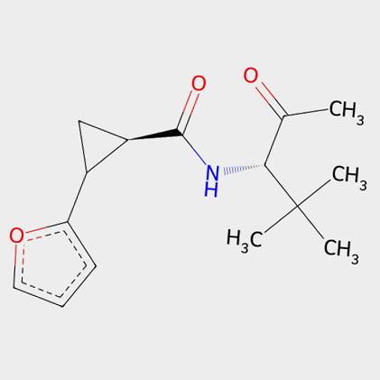 CC(=O)[C@@H](NC(=O)[C@@H]1CC1c1ccco1)C(C)(C)C